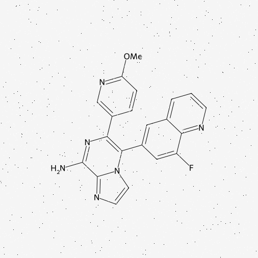 COc1ccc(-c2nc(N)c3nccn3c2-c2cc(F)c3ncccc3c2)cn1